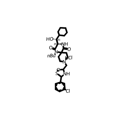 CCCCN1C(=O)[C@@H]([C@H](O)C2CCCCC2)NC(=O)C12CCN(CC1NC(c3cccc(Cl)c3)SO1)CC2.Cl